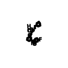 O[C@H](CNCCc1ccccc1)COc1cccc(-c2noc3cc(F)ccc23)c1